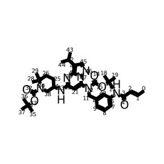 CC=CC(=O)Nc1cccc(CN(C(=O)OC(C)(C)C)c2cc(NC3CCC(C)(C)N(C(=O)OC(C)(C)C)C3)nc3c(C(C)C)cnn23)c1